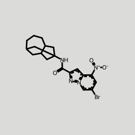 O=C(NC12CC3CCCC(C1)C(C3)C2)c1cc2c([N+](=O)[O-])cc(Br)cn2n1